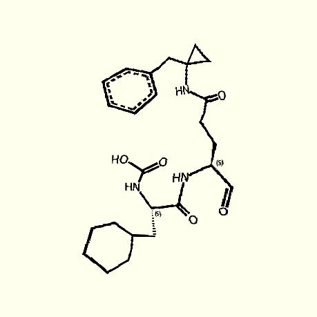 O=C[C@H](CCC(=O)NC1(Cc2ccccc2)CC1)NC(=O)[C@H](CC1CCCCC1)NC(=O)O